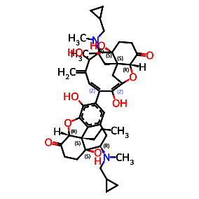 C=C1/C=C(c2cc3c4c(c2O)O[C@H]2C(=O)CC[C@@](O)([C@H](N(C)CC5CC5)C3)[C@@]42CCC)\C(O)=C2/C[C@@]3(CCC)[C@@H](O2)C(=O)CC[C@@]3(O)[C@H](N(C)CC2CC2)C1O